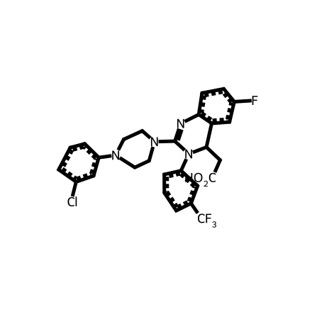 O=C(O)CC1c2cc(F)ccc2N=C(N2CCN(c3cccc(Cl)c3)CC2)N1c1cccc(C(F)(F)F)c1